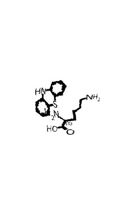 NCCCC[C@H](N)C(=O)O.c1ccc2c(c1)Nc1ccccc1S2